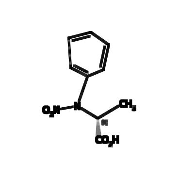 C[C@H](C(=O)O)N(c1ccccc1)[N+](=O)[O-]